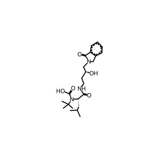 CC(C)C[C@@H](C(=O)NCC[C@H](O)CN1Cc2ccccc2C1=O)N(C(=O)O)C(C)(C)C